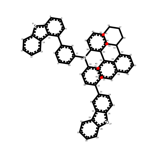 c1cc(-c2cccc3sc4ccccc4c23)cc(N(c2ccc(-c3ccc4oc5ccccc5c4c3)cc2)c2ccccc2-c2cccc3cccc(C4CCCCC4)c23)c1